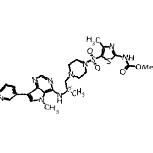 COC(=O)Nc1nc(C)c(S(=O)(=O)N2CCN(C[C@H](C)Nc3ncnc4c(-c5cccnc5)cn(C)c34)CC2)s1